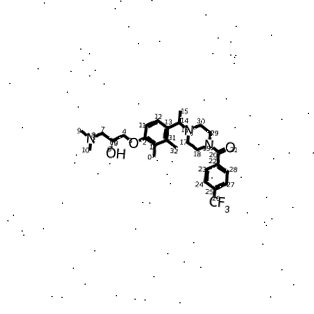 Cc1c(OC[C@H](O)CN(C)C)ccc(C(C)N2CCN(C(=O)c3ccc(C(F)(F)F)cc3)CC2)c1C